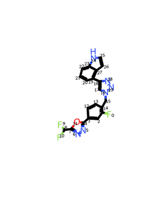 Fc1cc(-c2nnc(C(F)F)o2)ccc1Cn1cc(-c2cccc3[nH]ccc23)nn1